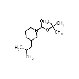 CC(C)CC1CCCN(C(=O)OC(C)(C)C)C1